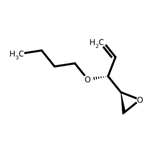 C=C[C@@H](OCCCC)[C@@H]1CO1